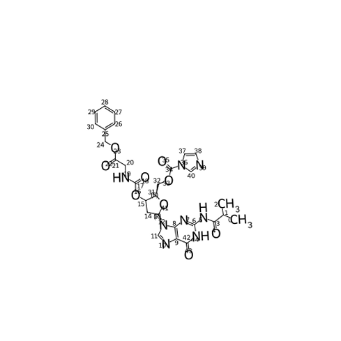 CC(C)C(=O)Nc1nc2c(ncn2[C@H]2CC(OC(=O)NCC(=O)OCc3ccccc3)[C@@H](COC(=O)n3ccnc3)O2)c(=O)[nH]1